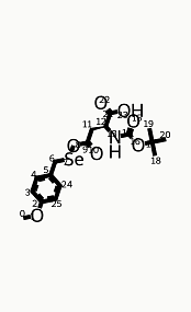 COc1ccc(C[Se]OC(=O)C[C@H](NC(=O)OC(C)(C)C)C(=O)O)cc1